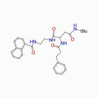 CC(C)(C)NC(=O)CC(NC(=O)CCc1ccccc1)C(=O)NCCNC(=O)c1cccc2ccccc12